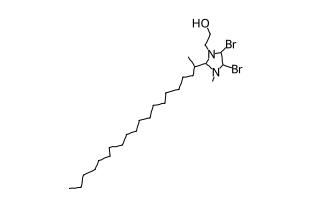 CCCCCCCCCCCCCCCCCCC(C)C1N(C)C(Br)C(Br)N1CCO